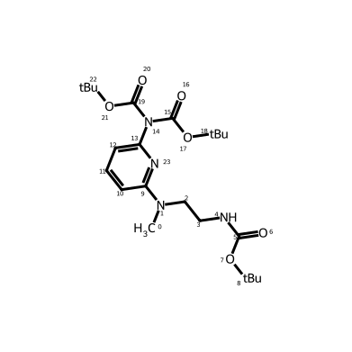 CN(CCNC(=O)OC(C)(C)C)c1cccc(N(C(=O)OC(C)(C)C)C(=O)OC(C)(C)C)n1